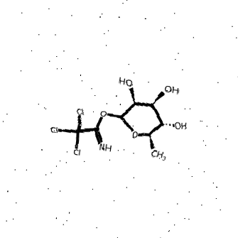 C[C@H]1OC(OC(=N)C(Cl)(Cl)Cl)[C@@H](O)[C@@H](O)[C@@H]1O